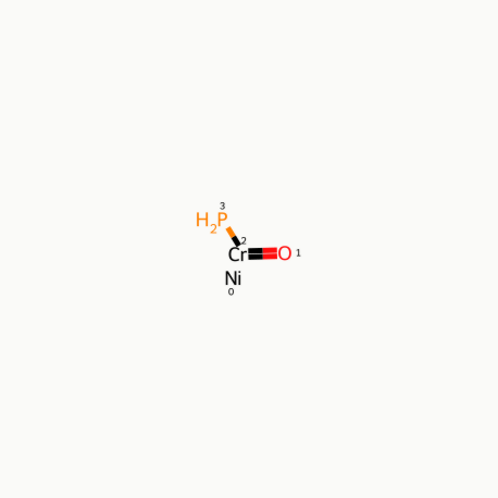 [Ni].[O]=[Cr][PH2]